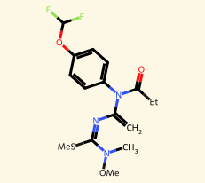 C=C(/N=C(/SC)N(C)OC)N(C(=O)CC)c1ccc(OC(F)F)cc1